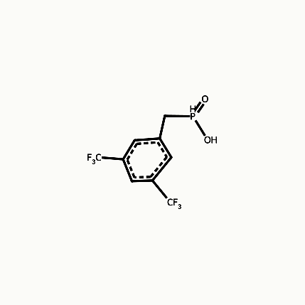 O=[PH](O)Cc1cc(C(F)(F)F)cc(C(F)(F)F)c1